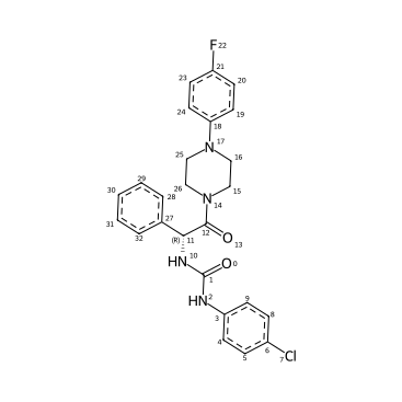 O=C(Nc1ccc(Cl)cc1)N[C@@H](C(=O)N1CCN(c2ccc(F)cc2)CC1)c1ccccc1